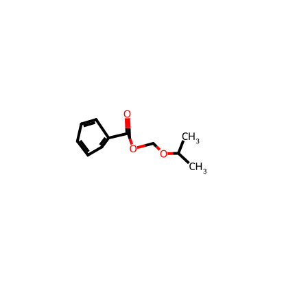 CC(C)OCOC(=O)c1ccccc1